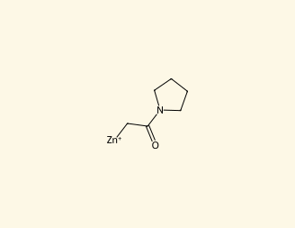 O=C([CH2][Zn+])N1CCCC1